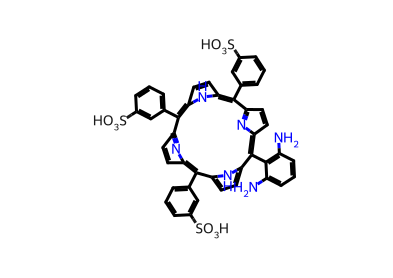 Nc1cccc(N)c1-c1c2nc(c(-c3cccc(S(=O)(=O)O)c3)c3ccc([nH]3)c(-c3cccc(S(=O)(=O)O)c3)c3nc(c(-c4cccc(S(=O)(=O)O)c4)c4ccc1[nH]4)C=C3)C=C2